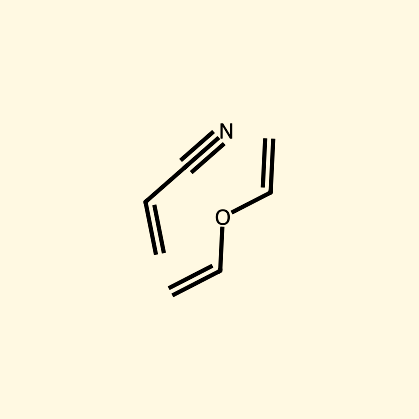 C=CC#N.C=COC=C